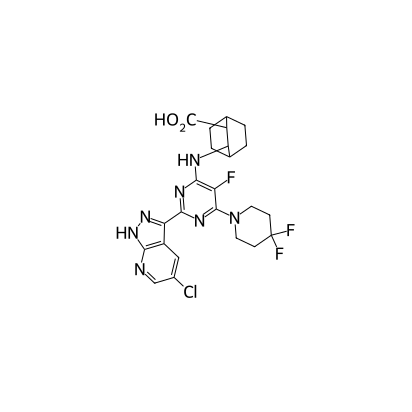 O=C(O)C1C2CCC(CC2)C1Nc1nc(-c2n[nH]c3ncc(Cl)cc23)nc(N2CCC(F)(F)CC2)c1F